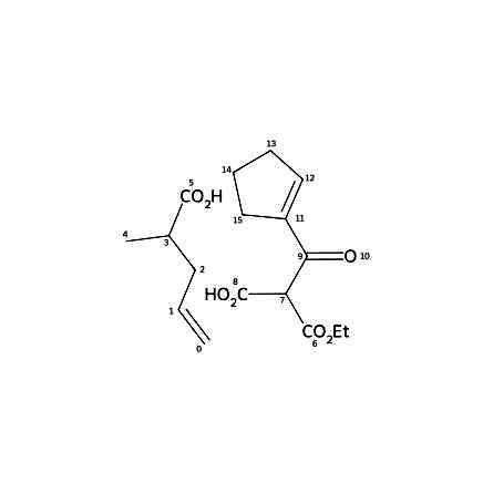 C=CCC(C)C(=O)O.CCOC(=O)C(C(=O)O)C(=O)C1=CCCC1